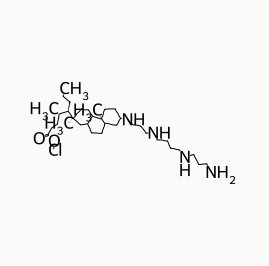 CCC[C@H](C(C)CCC(=O)OCl)[C@@]1(C)CCC2C(CCC3C[C@@H](NCCCNCCCCNCCCN)CC[C@@]32C)C1